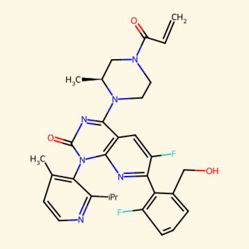 C=CC(=O)N1CCN(c2nc(=O)n(-c3c(C)ccnc3C(C)C)c3nc(-c4c(F)cccc4CO)c(F)cc23)[C@@H](C)C1